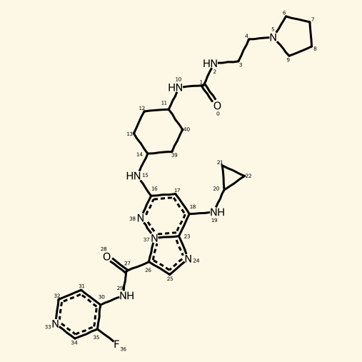 O=C(NCCN1CCCC1)NC1CCC(Nc2cc(NC3CC3)c3ncc(C(=O)Nc4ccncc4F)n3n2)CC1